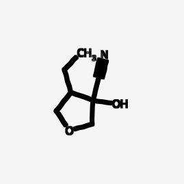 CCC1COCC1(O)C#N